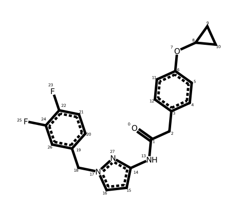 O=C(Cc1ccc(OC2CC2)cc1)Nc1ccn(Cc2ccc(F)c(F)c2)n1